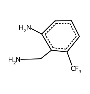 NCc1c(N)cccc1C(F)(F)F